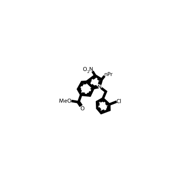 CCCc1c([N+](=O)[O-])c2ccc(C(=O)OC)cc2n1Cc1ccccc1Cl